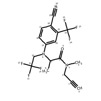 C#CCN(C)C(=O)C(C)N(CC(F)(F)F)c1ccc(C#N)c(C(F)(F)F)c1